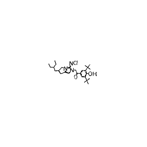 CCC(CC)CC1Cc2cn(CC(=O)c3cc(C(C)(C)C)c(O)c(C(C)(C)C)c3)/c(=N\Cl)n2C1